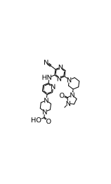 CN1CCN([C@@H]2CCCN(c3cnc(C#N)c(Nc4ccc(N5CCN(C(=O)O)CC5)cn4)n3)C2)C1=O